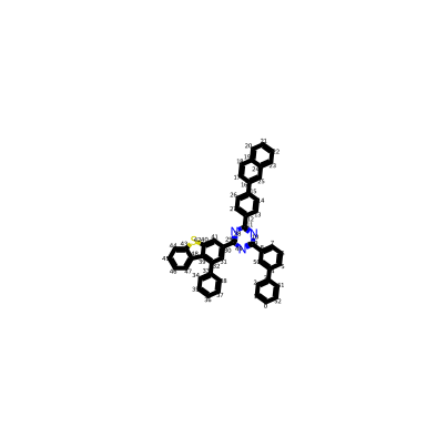 c1ccc(-c2cccc(-c3nc(-c4ccc(-c5ccc6ccccc6c5)cc4)nc(-c4cc(-c5ccccc5)c5c(c4)sc4ccccc45)n3)c2)cc1